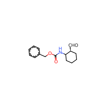 O=C[C@H]1CCCCC1NC(=O)OCc1ccccc1